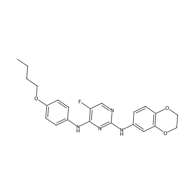 CCCCOc1ccc(Nc2nc(Nc3ccc4c(c3)OCCO4)ncc2F)cc1